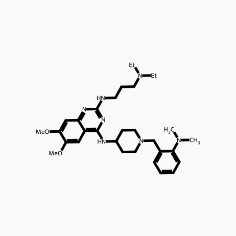 CCN(CC)CCCNc1nc(NC2CCN(Cc3ccccc3N(C)C)CC2)c2cc(OC)c(OC)cc2n1